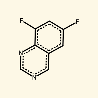 Fc1cc(F)c2ncncc2c1